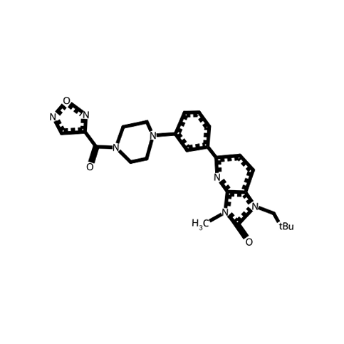 Cn1c(=O)n(CC(C)(C)C)c2ccc(-c3cccc(N4CCN(C(=O)c5cnon5)CC4)c3)nc21